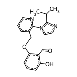 CC(C)c1nccn1-c1ncccc1COc1cccc(O)c1C=O